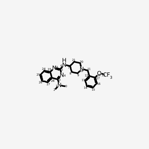 CN(C)c1nc(NC2CCN(Cc3ccccc3OC(F)(F)F)CC2)nc2ccccc12